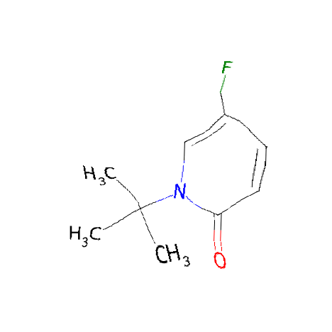 CC(C)(C)n1cc(F)ccc1=O